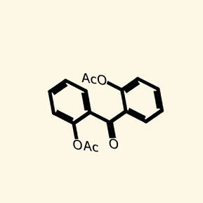 CC(=O)Oc1ccccc1C(=O)c1ccccc1OC(C)=O